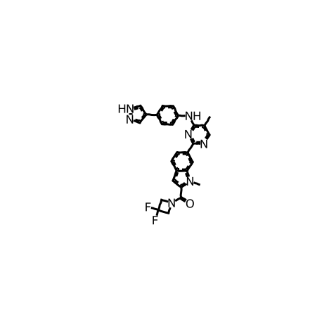 Cc1cnc(-c2ccc3cc(C(=O)N4CC(F)(F)C4)n(C)c3c2)nc1Nc1ccc(-c2cn[nH]c2)cc1